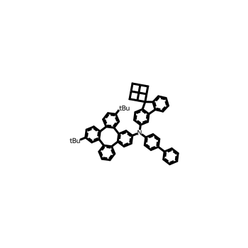 CC(C)(C)c1ccc2c(c1)-c1ccccc1-c1ccc(N(c3ccc(-c4ccccc4)cc3)c3ccc4c(c3)-c3ccccc3C43C4CC5CC6CC3C564)cc1-c1cc(C(C)(C)C)ccc1-2